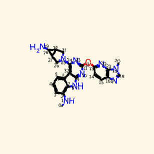 CNc1cccc2c1[nH]c1nc(Oc3ccc4ncn(C)c4n3)nc(N3CC4C(N)C4C3)c12